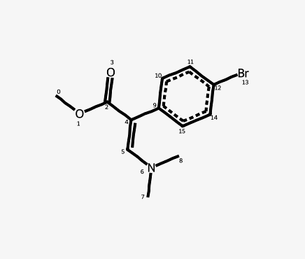 COC(=O)/C(=C/N(C)C)c1ccc(Br)cc1